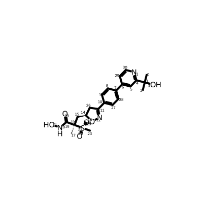 CC(C)(O)c1cc(-c2ccc(C3=NO[C@@H](C[C@](C)(C(=O)NO)S(C)(=O)=O)C3)cc2)ccn1